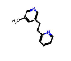 Cc1cncc(CCc2ccccn2)c1